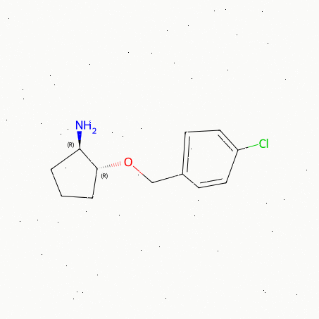 N[C@@H]1CCC[C@H]1OCc1ccc(Cl)cc1